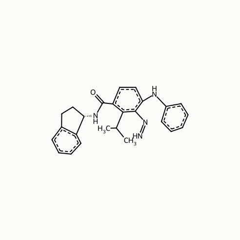 CC(C)c1c(C(=O)N[C@H]2CCc3ccccc32)ccc(Nc2ccccc2)c1N=N